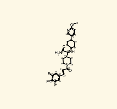 COc1ccc(C2CCC(NC(C(N)=O)C3CCN(C(=O)C=Cc4cc(F)c(F)c(F)c4)CC3)CC2)cn1